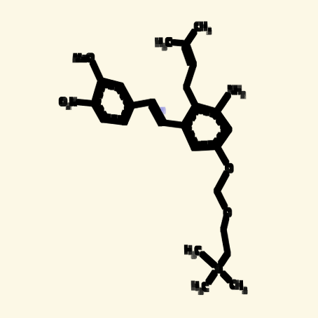 COc1cc(/C=C/c2cc(OCOCC[Si](C)(C)C)cc(N)c2CC=C(C)C)ccc1[N+](=O)[O-]